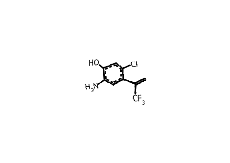 C=C(c1cc(N)c(O)cc1Cl)C(F)(F)F